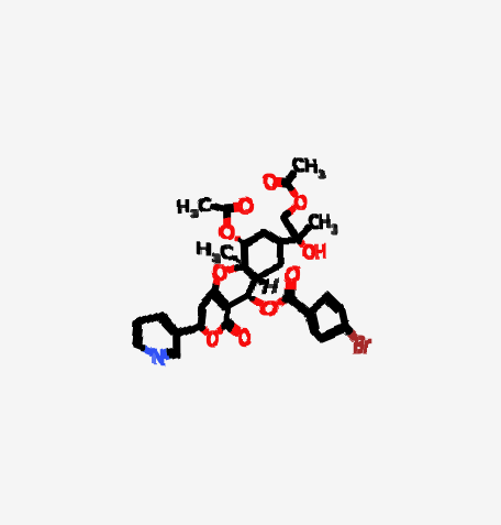 CC(=O)OCC(C)(O)C1C[C@@H]2[C@@H](OC(=O)c3ccc(Br)cc3)c3c(cc(-c4cccnc4)oc3=O)O[C@@]2(C)[C@H](OC(C)=O)C1